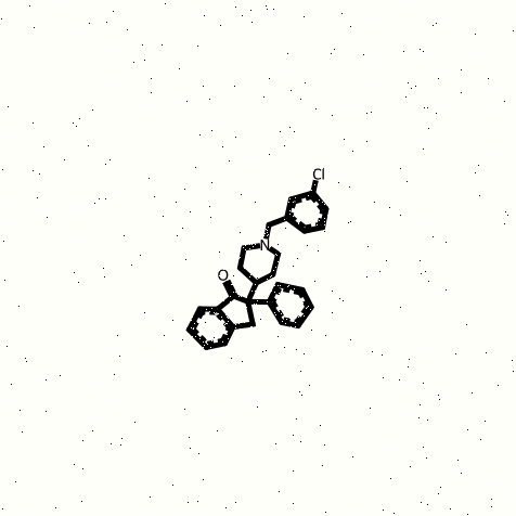 O=C1c2ccccc2CC1(c1ccccc1)C1CCN(Cc2cccc(Cl)c2)CC1